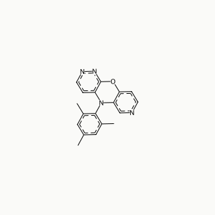 Cc1cc(C)c(N2c3cnccc3Oc3nnccc32)c(C)c1